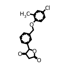 Cc1cc(Cl)ccc1OCc1cccc(C2OC(=O)CC2=O)c1